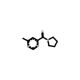 Cc1cc(C(=O)N2CCCC2)ncn1